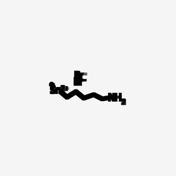 [Br-].[Br-].[CH3][Sn+2][CH2]CCCCN